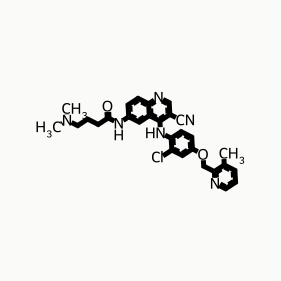 Cc1cccnc1COc1ccc(Nc2c(C#N)cnc3ccc(NC(=O)CCCN(C)C)cc23)c(Cl)c1